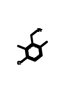 Cc1ccc(Cl)c(C)c1CC(C)C